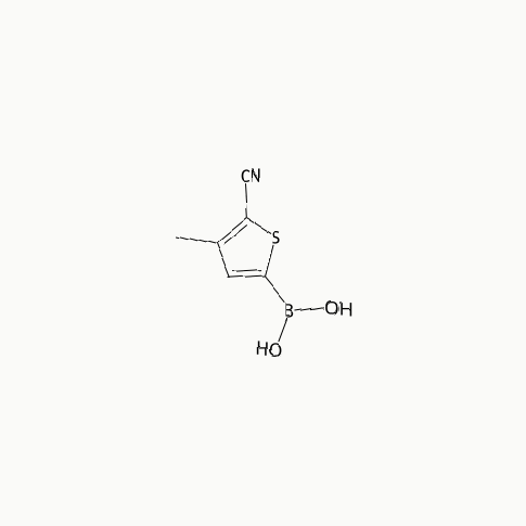 Cc1cc(B(O)O)sc1C#N